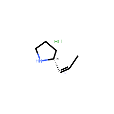 C/C=C\[C@H]1CCCN1.Cl